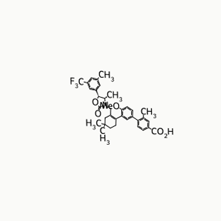 COc1ccc(-c2ccc(C(=O)O)cc2C)cc1C1=C(CN2C(=O)O[C@@H](c3cc(C)cc(C(F)(F)F)c3)[C@H]2C)CC(C)(C)CC1